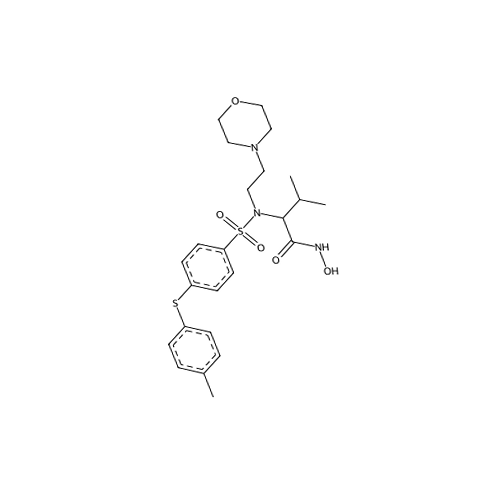 Cc1ccc(Sc2ccc(S(=O)(=O)N(CCN3CCOCC3)C(C(=O)NO)C(C)C)cc2)cc1